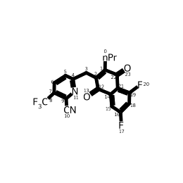 CCCC1=C(Cc2ccc(C(F)(F)F)c(C#N)n2)C(=O)c2cc(F)cc(F)c2C1=O